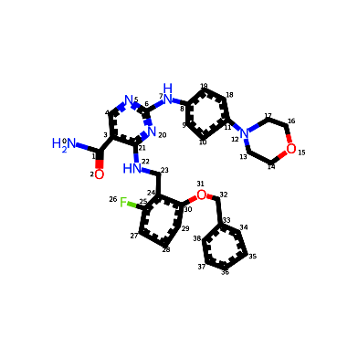 NC(=O)c1cnc(Nc2ccc(N3CCOCC3)cc2)nc1NCc1c(F)cccc1OCc1ccccc1